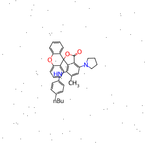 CCCCc1ccc(Nc2c(C)cc(N3CCCC3)c3c2C2(OC3=O)c3ccccc3Oc3ccccc32)cc1